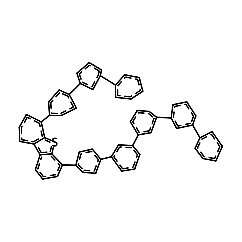 c1ccc(-c2cccc(-c3ccc(-c4cccc5c4sc4c(-c6ccc(-c7cccc(-c8cccc(-c9cccc(-c%10ccccc%10)c9)c8)c7)cc6)cccc45)cc3)c2)cc1